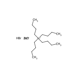 Br.CCCC[N+](CCCC)(CCCC)CCCC.Cl.[Zn+2]